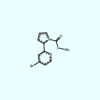 CC(C)(C)OC(=O)n1cccc1-c1cc(Br)ccn1